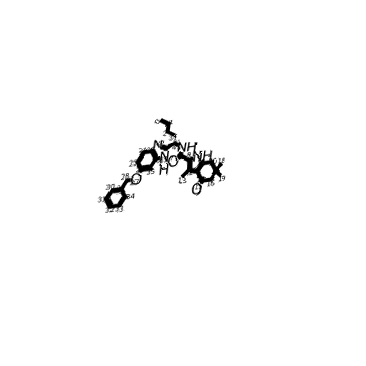 CCCC[C@H](NC(=O)c1[nH]c2c(c1C)C(=O)CC(C)(C)C2)c1nc2ccc(OCc3ccccc3)cc2[nH]1